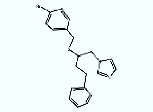 Brc1ccc(CSC(CCc2ccccc2)Cn2ccnc2)cc1